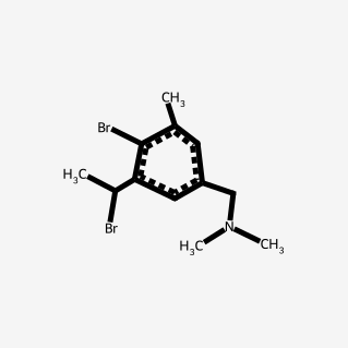 Cc1cc(CN(C)C)cc(C(C)Br)c1Br